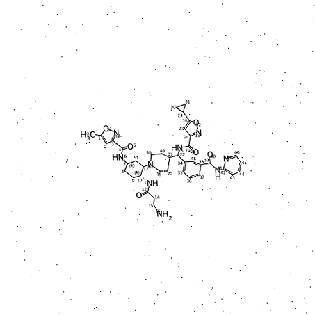 Cc1cc(C(=O)N[C@@H]2CC[C@@H](NC(=O)CCN)C(N3CCC(C(NC(=O)c4cc(C5CC5)on4)c4cccc(C(=O)Nc5ccccn5)c4)CC3)C2)no1